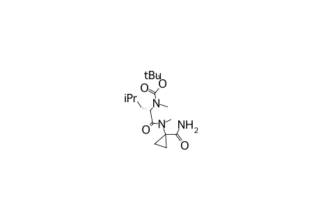 CC(C)C[C@@H](C(=O)N(C)C1(C(N)=O)CC1)N(C)C(=O)OC(C)(C)C